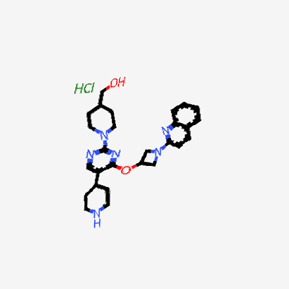 Cl.OCC1CCN(c2ncc(C3CCNCC3)c(OC3CN(c4ccc5ccccc5n4)C3)n2)CC1